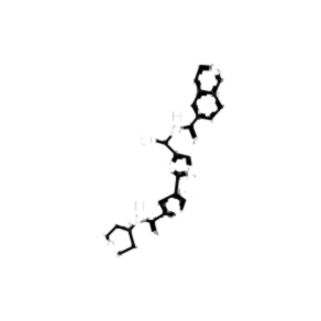 CCC(NC(=O)c1ccc2cnccc2c1)c1cnc(-c2csc(C(=O)NC3CCOCC3)c2)s1